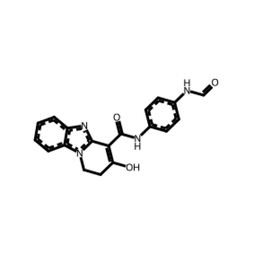 O=CNc1ccc(NC(=O)C2=C(O)CCn3c2nc2ccccc23)cc1